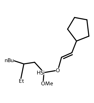 CCCCC(CC)C[SiH](OC)OC=CC1CCCC1